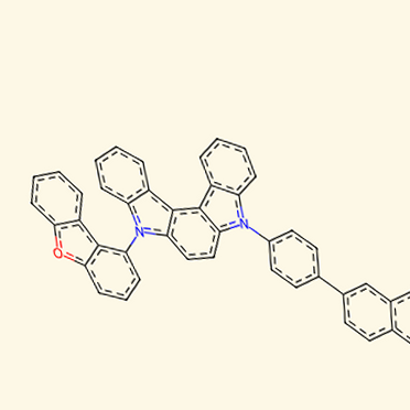 c1ccc2cc(-c3ccc(-n4c5ccccc5c5c6c7ccccc7n(-c7cccc8oc9ccccc9c78)c6ccc54)cc3)ccc2c1